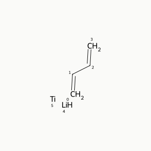 C=CC=C.[LiH].[Ti]